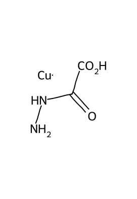 NNC(=O)C(=O)O.[Cu]